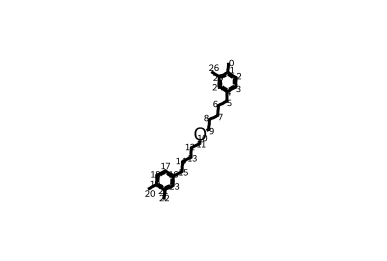 Cc1ccc(CCCCCOCCCCCc2ccc(C)c(C)c2)cc1C